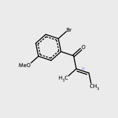 C/C=C(\C)C(=O)c1cc(OC)ccc1Br